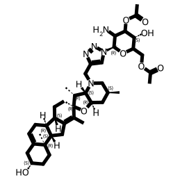 CC(=O)OCC1O[C@@H](n2cc(CN3C[C@@H](C)C[C@H]4O[C@]5(CC[C@@H]6C(=C5C)C[C@H]5[C@H]6CC=C6C[C@@H](O)CC[C@@]65C)[C@H](C)[C@@H]43)nn2)C(N)C(OC(C)=O)[C@@H]1O